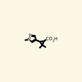 Cn1cc(C2C(C(=O)O)C2(C)C)cn1